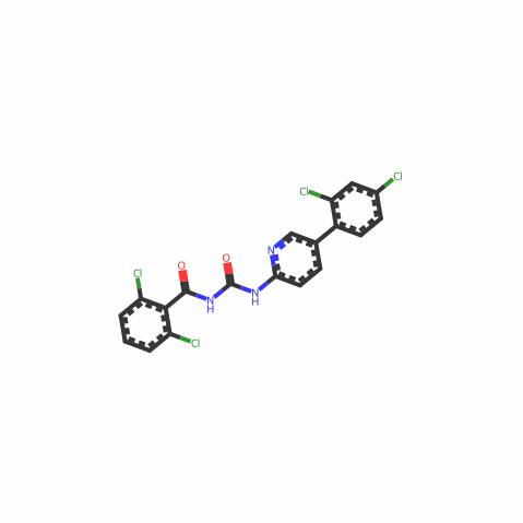 O=C(NC(=O)c1c(Cl)cccc1Cl)Nc1ccc(-c2ccc(Cl)cc2Cl)cn1